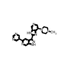 CN1CCN(c2cncc3[nH]c(-c4n[nH]c5cnc(-c6cncnc6)cc45)nc23)CC1